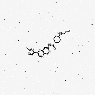 Cc1ncc(-c2cnc3cnc(NC(=O)[C@H]4CC[C@H](NCCF)CC4)cc3c2)o1